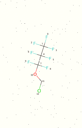 FC(F)(F)C(F)(F)C(F)(F)OCCl